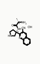 C[C@H](N)C(=O)N[C@@]1(c2nc3ccccc3cc2C#N)CCNC1.Cl